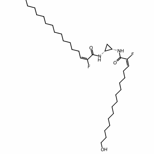 O=C(N[C@H]1C[C@H]1NC(=O)/C(F)=C\CCCCCCCCCCCCCO)/C(F)=C\CCCCCCCCCCCCCO